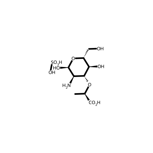 C[C@@H](O[C@@H]1[C@@H](N)[C@@H](O)O[C@H](CO)[C@H]1O)C(=O)O.O=S(=O)(O)O